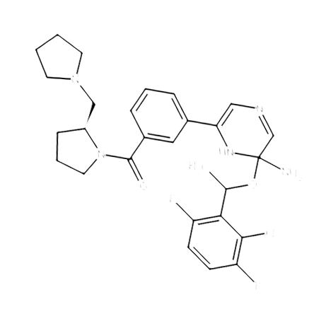 CC(OC1(N)C=NC=C(c2cccc(C(=O)N3CCC[C@H]3CN3CCCC3)c2)N1)c1c(F)ccc(F)c1Cl